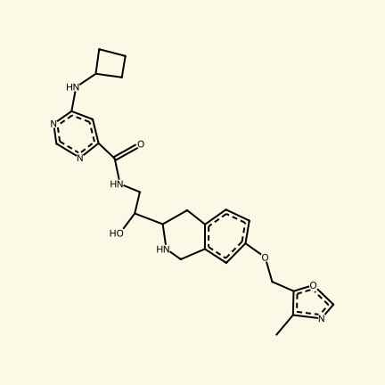 Cc1ncoc1COc1ccc2c(c1)CNC(C(O)CNC(=O)c1cc(NC3CCC3)ncn1)C2